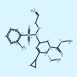 C=CCON(C1C=C(C2CC2)[C@@H](CO)N(C(=O)OC(C)(C)C)C1)S(=O)(=O)c1ccccc1[N+](=O)[O-]